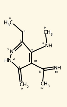 C=C1NN=C(CC)C(NC)=C1C(C)=N